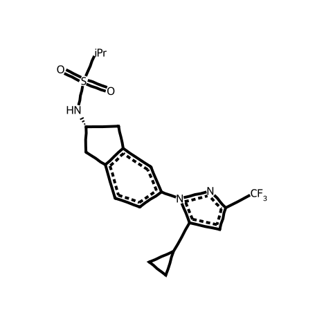 CC(C)S(=O)(=O)N[C@H]1Cc2ccc(-n3nc(C(F)(F)F)cc3C3CC3)cc2C1